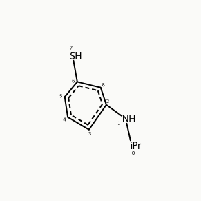 CC(C)Nc1cccc(S)c1